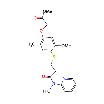 COC(=O)COc1cc(OC)c(SCCC(=O)N(C)c2ccccn2)cc1C